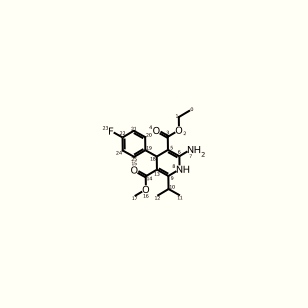 CCOC(=O)C1=C(N)NC(C(C)C)=C(C(=O)OC)C1c1ccc(F)cc1